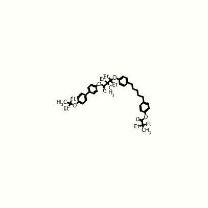 CCC(C)(CC)Oc1ccc(-c2ccc(OC(=O)C(C)(CC)C(CC)(CC)Oc3ccc(CCCCCc4ccc(OC(=O)C(C)(CC)CC)cc4)cc3)cc2)cc1